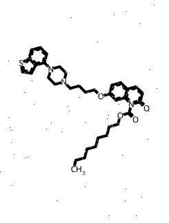 CCCCCCCCCOC(=O)n1c(=O)ccc2ccc(OCCCCN3CCN(c4cccc5sccc45)CC3)cc21